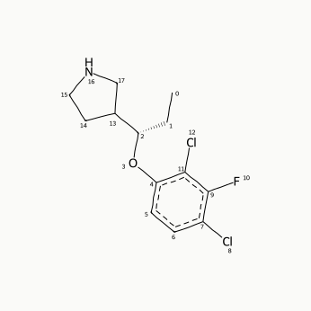 CC[C@H](Oc1ccc(Cl)c(F)c1Cl)C1CCNC1